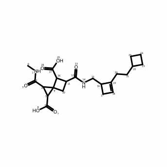 CNC(=O)C1C(C(=O)O)C12CC(C(=O)NCC1CC=C1CCC1CCC1)C2C(=O)O